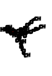 C#CCOCCOCCNC(=O)CCC(CCC(=O)NCCOCCOCC#C)(CCC(=O)NCCOCCOCC#C)NC(=O)C1CCC2(OP(C)(=O)O)CCC1CC2